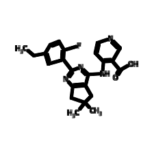 CCc1ccc(F)c(-c2nc3c(c(Nc4ccncc4C(=O)O)n2)CC(C)(C)C3)c1